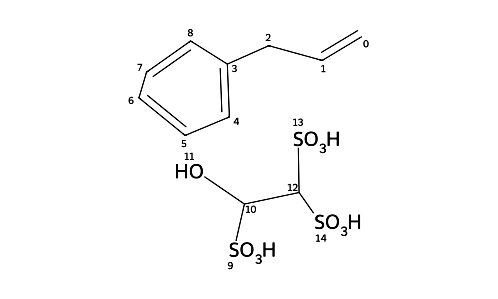 C=CCc1ccccc1.O=S(=O)(O)C(O)C(S(=O)(=O)O)S(=O)(=O)O